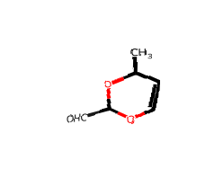 CC1C=COC(C=O)O1